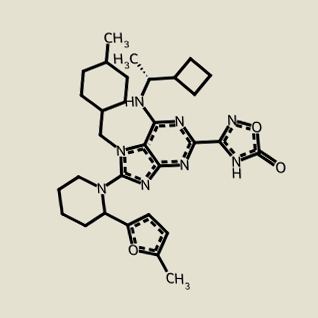 Cc1ccc(C2CCCCN2c2nc3nc(-c4noc(=O)[nH]4)nc(N[C@H](C)C4CCC4)c3n2CC2CCC(C)CC2)o1